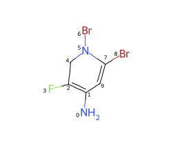 NC1=C(F)CN(Br)C(Br)=C1